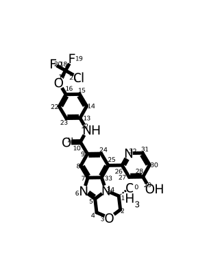 C[C@@H]1COCc2nc3cc(C(=O)Nc4ccc(OC(F)(F)Cl)cc4)cc(-c4cc(O)ccn4)c3n21